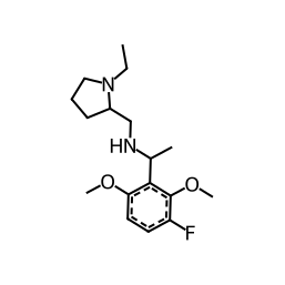 CCN1CCCC1CNC(C)c1c(OC)ccc(F)c1OC